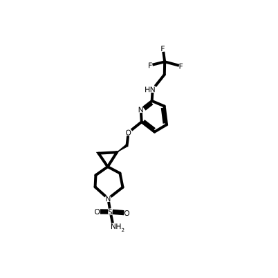 NS(=O)(=O)N1CCC2(CC1)C[C@H]2COc1cccc(NCC(F)(F)F)n1